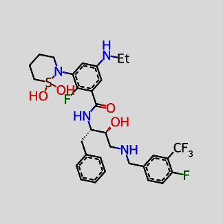 CCNc1cc(C(=O)N[C@@H](Cc2ccccc2)[C@@H](O)CNCc2ccc(F)c(C(F)(F)F)c2)c(F)c(N2CCCCS2(O)O)c1